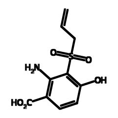 C=CCS(=O)(=O)c1c(O)ccc(C(=O)O)c1N